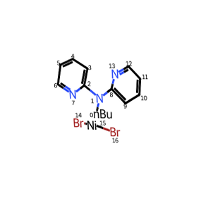 CCCCN(c1ccccn1)c1ccccn1.[Br][Ni][Br]